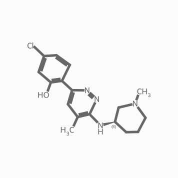 Cc1cc(-c2ccc(Cl)cc2O)nnc1N[C@@H]1CCCN(C)C1